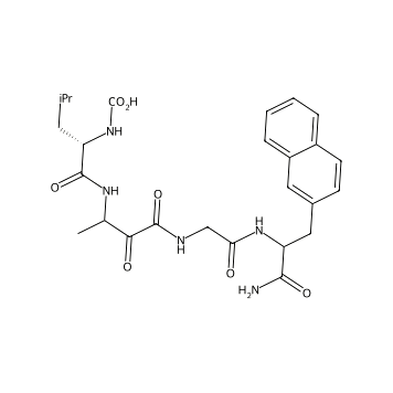 CC(C)C[C@H](NC(=O)O)C(=O)NC(C)C(=O)C(=O)NCC(=O)NC(Cc1ccc2ccccc2c1)C(N)=O